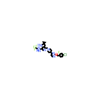 N#CC1(Cc2cc(-c3nnc(C(F)(F)F)[nH]3)cnc2CN2CCC(c3ccnc(OCc4ccc(Cl)cc4F)n3)CC2)CC1